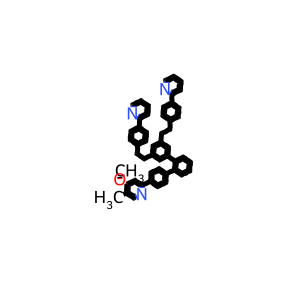 COc1cc(-c2ccc(-c3ccccc3-c3cc(CCc4ccc(-c5ccccn5)cc4)cc(CCc4ccc(-c5ccccn5)cc4)c3)cc2)ncc1C